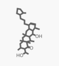 CC(O)C1C(=O)C2(C)C(C)C3C(O)C4C(C)C=CC(CCCC5CCCC5C)C4CC3(C)CC2(C)CC1C